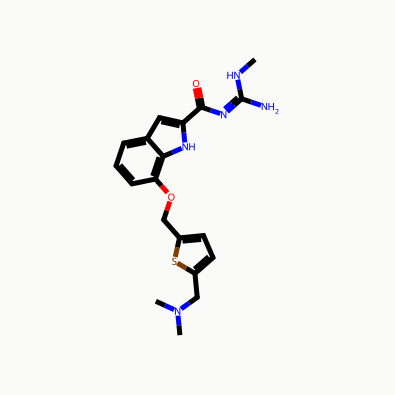 CNC(N)=NC(=O)c1cc2cccc(OCc3ccc(CN(C)C)s3)c2[nH]1